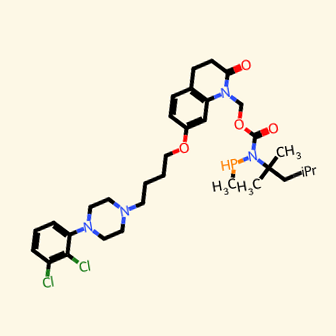 CPN(C(=O)OCN1C(=O)CCc2ccc(OCCCCN3CCN(c4cccc(Cl)c4Cl)CC3)cc21)C(C)(C)CC(C)C